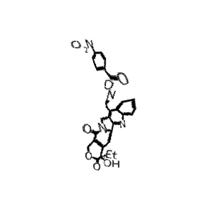 CC[C@@]1(O)C(=O)OCc2c1cc1n(c2=O)Cc2c-1nc1ccccc1c2C=NOC(=O)c1ccc([N+](=O)[O-])cc1